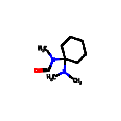 CN(C)C1(N(C)C=O)CCCCC1